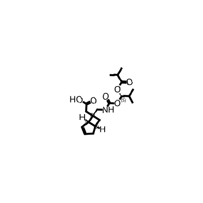 CC(C)C(=O)O[C@@H](OC(=O)NC[C@@]1(CC(=O)O)C[C@@H]2CC=C[C@@H]21)C(C)C